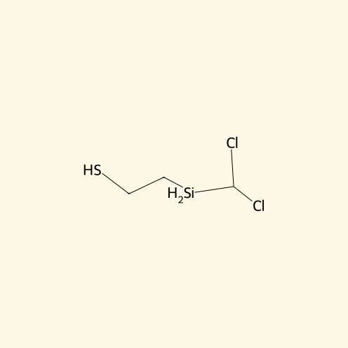 SCC[SiH2]C(Cl)Cl